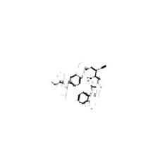 C#Cc1cc(=O)n(-c2ccc(NC(=O)CC)cc2)c2nc(Nc3ccccc3OC)ncc12